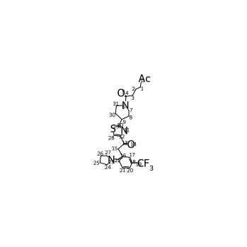 CC(=O)CCCC(=O)N1CCC(c2nc(C(=O)Cc3cc(C(F)(F)F)ccc3N3CCCC3)cs2)CC1